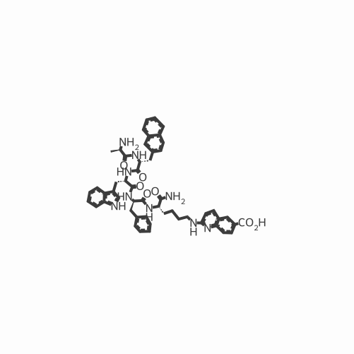 C[C@@H](N)C(=O)N[C@H](Cc1ccc2ccccc2c1)C(=O)N[C@@H](Cc1c[nH]c2ccccc12)C(=O)N[C@H](Cc1ccccc1)C(=O)N[C@@H](CCCCNc1ccc2cc(C(=O)O)ccc2n1)C(N)=O